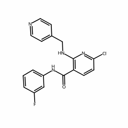 O=C(Nc1cccc(F)c1)c1ccc(Cl)nc1NCc1ccncc1